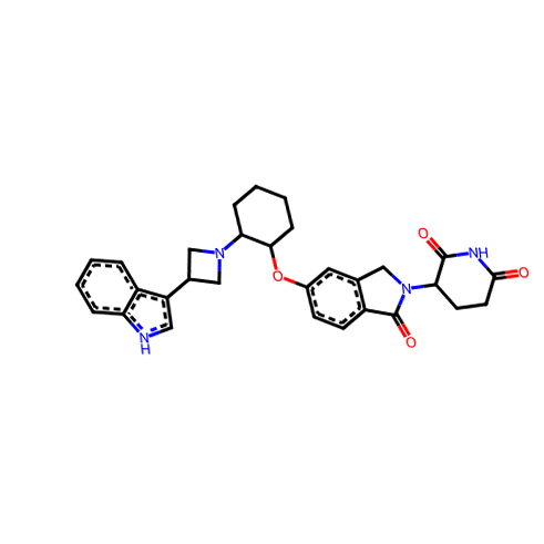 O=C1CCC(N2Cc3cc(OC4CCCCC4N4CC(c5c[nH]c6ccccc56)C4)ccc3C2=O)C(=O)N1